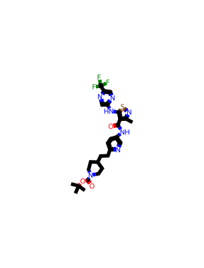 Cc1nsc(Nc2cnc(C(F)(F)F)cn2)c1C(=O)Nc1ccc(CCC2CCN(C(=O)OC(C)(C)C)CC2)nc1